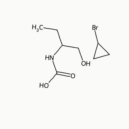 BrC1CC1.CCC(CO)NC(=O)O